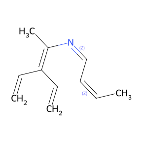 C=CC(C=C)=C(C)/N=C\C=C/C